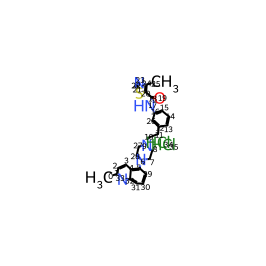 Cc1ccc2c(N3CCN(CCc4cccc(NC(=O)c5scnc5C)c4)CC3)cccc2n1.Cl.Cl